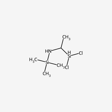 CC(N[Si](C)(C)C)[SiH](Cl)Cl